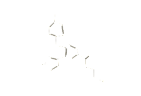 Cn1ccc(-c2cc(C(=O)NCCN)cnc2Oc2ccc(C(F)(F)F)cc2)n1